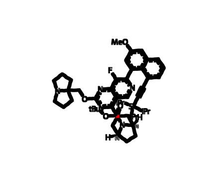 COc1cc(-c2ncc3c(N4C[C@H]5CC[C@@H](C4)N5C(=O)OC(C)(C)C)nc(OCC45CCCN4CCC5)nc3c2F)c2c(C#C[Si](C(C)C)(C(C)C)C(C)C)cccc2c1